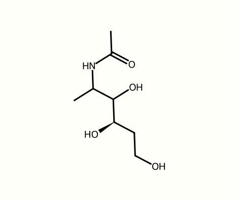 CC(=O)NC(C)C(O)[C@H](O)CCO